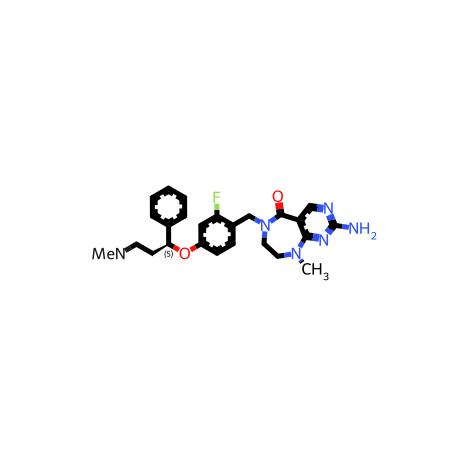 CNCC[C@H](Oc1ccc(CN2CCN(C)c3nc(N)ncc3C2=O)c(F)c1)c1ccccc1